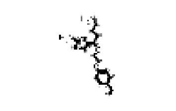 CCc1ccc(OCCOC(CCCN)c2c[nH]c(N)n2)cc1